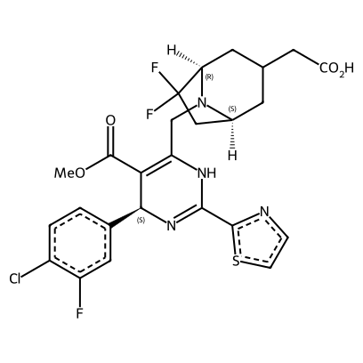 COC(=O)C1=C(CN2[C@H]3CC(CC(=O)O)C[C@@H]2C(F)(F)C3)NC(c2nccs2)=N[C@H]1c1ccc(Cl)c(F)c1